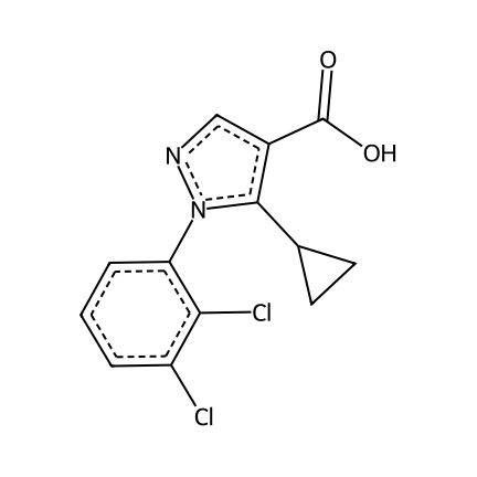 O=C(O)c1cnn(-c2cccc(Cl)c2Cl)c1C1CC1